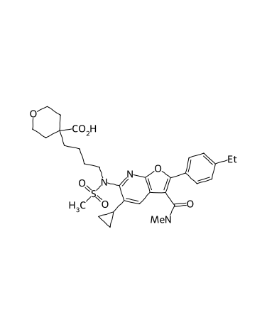 CCc1ccc(-c2oc3nc(N(CCCCC4(C(=O)O)CCOCC4)S(C)(=O)=O)c(C4CC4)cc3c2C(=O)NC)cc1